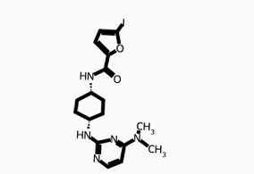 CN(C)c1ccnc(N[C@H]2CC[C@@H](NC(=O)c3ccc(I)o3)CC2)n1